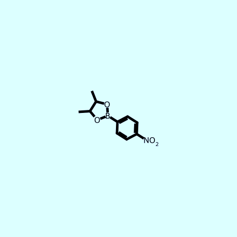 CC1OB(c2ccc([N+](=O)[O-])cc2)OC1C